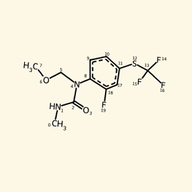 CNC(=O)N(COC)c1ccc(SC(F)(F)F)cc1F